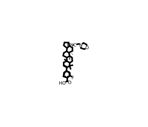 CC1(C)C(c2ccc(C(=O)O)c(F)c2)=CCC2(C)C1CC[C@]1(C)C2CCC2C3CCC[C@]3(NCCN3CCOCC3)CC[C@]21C